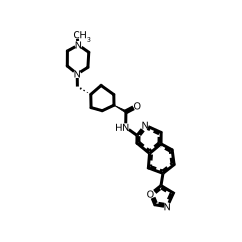 CN1CCN(C[C@H]2CC[C@H](C(=O)Nc3cc4cc(-c5cnco5)ccc4cn3)CC2)CC1